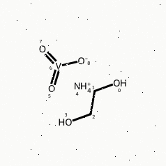 OCCO.[NH4+].[O]=[V](=[O])[O-]